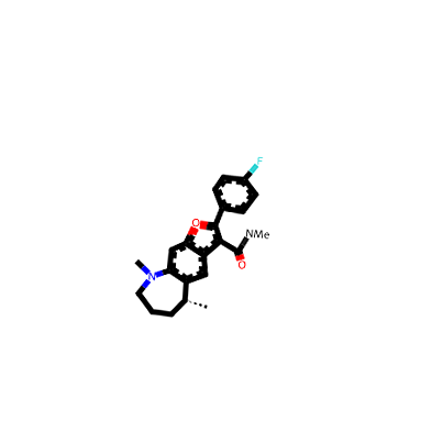 CNC(=O)c1c(-c2ccc(F)cc2)oc2cc3c(cc12)[C@H](C)CCCN3C